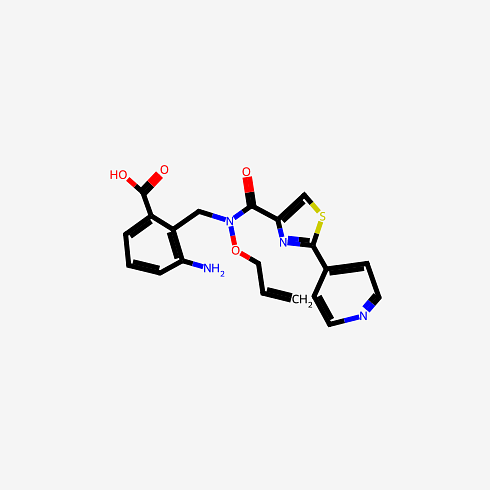 C=CCON(Cc1c(N)cccc1C(=O)O)C(=O)c1csc(-c2ccncc2)n1